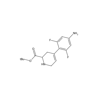 CC(C)(C)OC(=O)C1CC(c2c(F)cc(N)cc2F)=CCN1